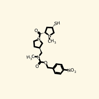 CN(C[C@H]1CCN(C(=O)[C@@H]2C[C@H](S)CN2C)C1)C(=O)OCc1ccc([N+](=O)[O-])cc1